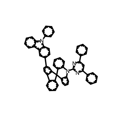 c1ccc(-c2cc(-c3ccccc3)nc(N3c4ccccc4C4(c5ccccc5-c5ccc(-c6ccc7c(c6)c6ccccc6n7-c6ccccc6)cc54)c4ccccc43)n2)cc1